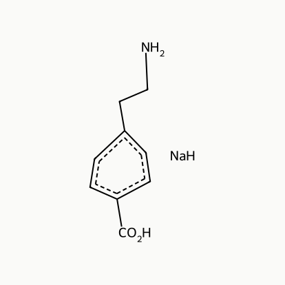 NCCc1ccc(C(=O)O)cc1.[NaH]